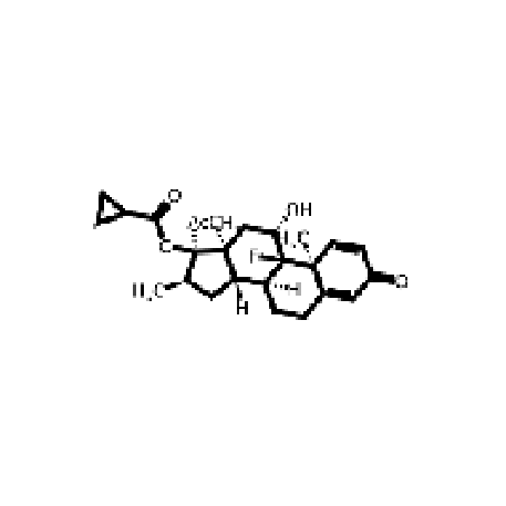 CC(=O)[C@@]1(OC(=O)C2CC2)[C@H](C)C[C@H]2[C@@H]3CCC4=CC(=O)C=C[C@]4(C)[C@@]3(F)[C@@H](O)C[C@@]21C